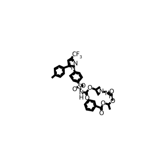 Cc1ccc(-c2cc(C(F)(F)F)nn2-c2ccc(S(=O)(=O)NC(=O)OC3CN(n4on4OC(C)OC(=O)c4ccccc4)C3)cc2)cc1